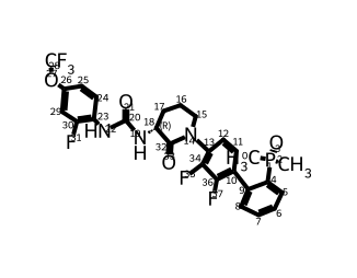 CP(C)(=O)c1ccccc1-c1ccc(N2CCC[C@@H](NC(=O)Nc3ccc(OC(F)(F)F)cc3F)C2=O)c(F)c1F